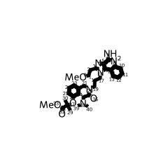 COCCc1nc2c(N)nc3ccccc3c2n1CCCN(Cc1cccc(OC(C)(C)C(=O)OC)c1)C(=O)CN(C)C